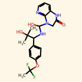 CC(F)(F)Oc1ccc(C(NC(O)N2CC(=O)Nc3cccnc32)C(C)(C)O)cc1